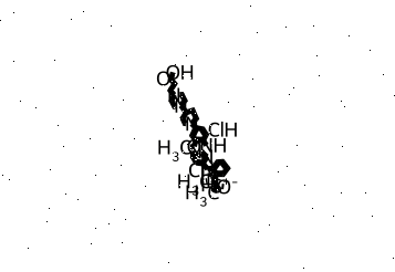 COc1cc(N2CCC(N3CCN(CCC(=O)O)CC3)CC2)ccc1Nc1ncc(Cl)c(Nc2ccccc2N(C)[S+](C)[O-])n1.Cl